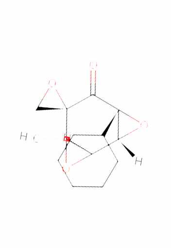 C[C@@]12O[C@@H]1[C@H]1O[C@@]1(C1CCCCC1)C(=O)[C@]21CO1